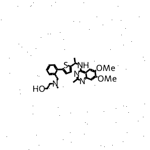 COc1cc2nc(C)nc(NC(C)c3ccc(-c4ccccc4CN(C)CCO)s3)c2cc1OC